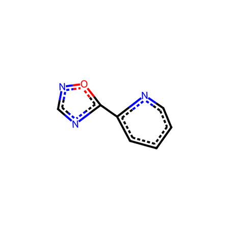 c1ccc(-c2ncno2)nc1